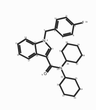 O=C(c1cn(Cc2ccc(F)cc2)c2ccccc12)N(C1CCCCC1)C1CCCCC1